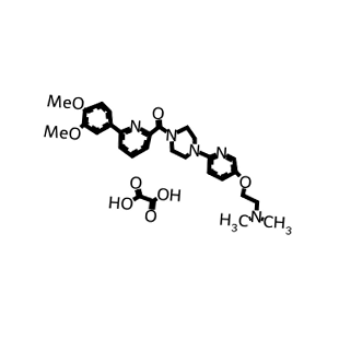 COc1ccc(-c2cccc(C(=O)N3CCN(c4ccc(OCCN(C)C)cn4)CC3)n2)cc1OC.O=C(O)C(=O)O